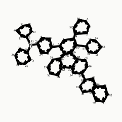 c1ccc(-c2cc(-c3ccc(N(c4ccccc4)c4ccccc4)cc3)c3c4ccccc4c4cc(-c5ccc6ccccc6c5)ccc4c3c2-c2ccccc2)cc1